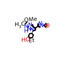 CC[C@]1(O)CC[C@@H](c2cc(-c3cnn(C4COC4)c3)c3cnc(N[C@@H](C)COC)nn32)CC1